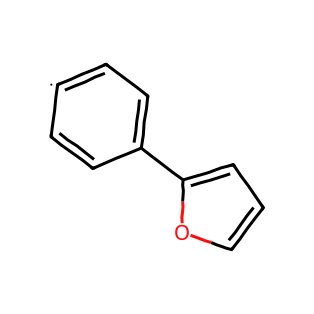 [c]1ccc(-c2ccco2)cc1